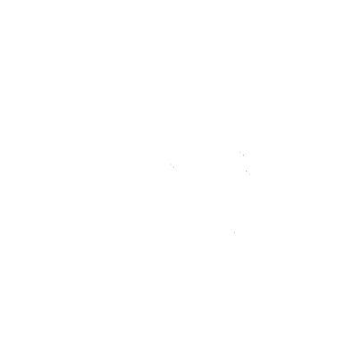 Cn1cc(C=NOS(=O)(=O)c2ccccc2)c(C#N)n1